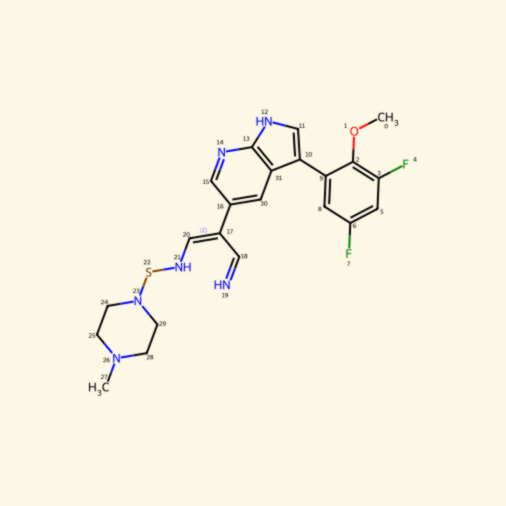 COc1c(F)cc(F)cc1-c1c[nH]c2ncc(/C(C=N)=C/NSN3CCN(C)CC3)cc12